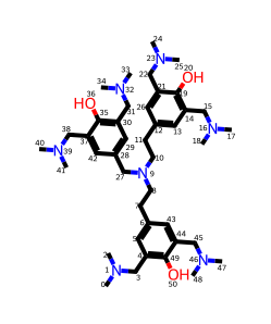 CN(C)Cc1cc(CCN(CCc2cc(CN(C)C)c(O)c(CN(C)C)c2)Cc2cc(CN(C)C)c(O)c(CN(C)C)c2)cc(CN(C)C)c1O